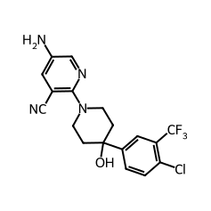 N#Cc1cc(N)cnc1N1CCC(O)(c2ccc(Cl)c(C(F)(F)F)c2)CC1